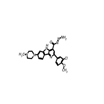 COc1ccc(-c2cc(C(=O)N=NN)c3[nH]c4cc(N5CCN(C)CC5)ccc4c3n2)cc1Cl